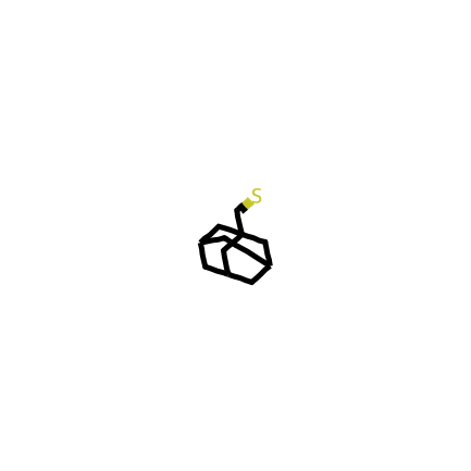 S=CC12CC3CC(CC(C3)C1)C2